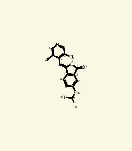 O=C1OC(=Cc2c(Cl)cncc2Cl)c2ccc(OC(F)F)cc21